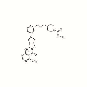 COC(=O)N1CCC(CCCc2cccc(N3CC4CN(C(=O)c5c(C)ncnc5C)CC4C3)c2)CC1